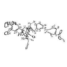 COC(=O)c1ccc(-c2ccc3c(c2)C[C@@H](N(C[C@@H](O)c2cnc(Cl)c(Cl)c2)C(=O)OC(C)(C)C)CC3)cc1